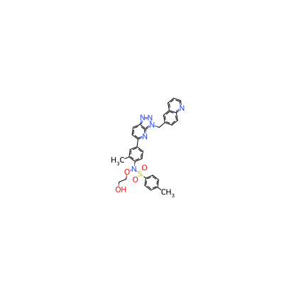 Cc1ccc(S(=O)(=O)N(OCCO)c2ccc(-c3ccc4nnn(Cc5ccc6ncccc6c5)c4n3)cc2C)cc1